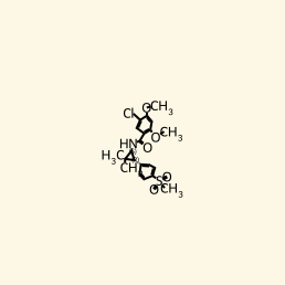 COc1cc(OC)c(C(=O)N[C@H]2[C@H](c3ccc(S(C)(=O)=O)cc3)C2(C)C)cc1Cl